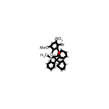 COc1cc([N+](=O)[O-])c(Br)c2c1OC1(C=C2)N(C)c2ccccc2C1(c1ccccc1)c1ccccc1